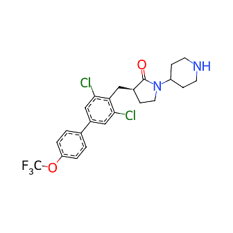 O=C1[C@H](Cc2c(Cl)cc(-c3ccc(OC(F)(F)F)cc3)cc2Cl)CCN1C1CCNCC1